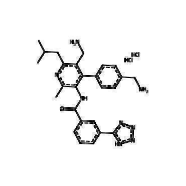 Cc1nc(CC(C)C)c(CN)c(-c2ccc(CN)cc2)c1NC(=O)c1cccc(-c2nnn[nH]2)c1.Cl.Cl